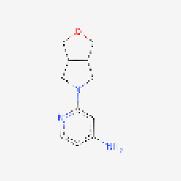 Nc1ccnc(N2CC3COCC3C2)c1